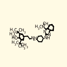 CN(C)c1nc(N[C@H]2CC[C@@H](CNCCc3cc(C(C)(C)C)c(O)c(C(C)(C)C)c3)CC2)nc2ccccc12